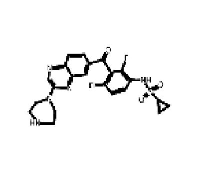 O=C(c1ccc2ncc(N3CCNCC3)nc2c1)c1c(Cl)ccc(NS(=O)(=O)C2CC2)c1F